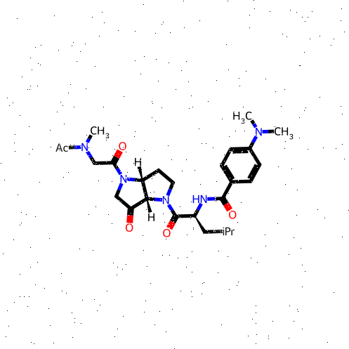 CC(=O)N(C)CC(=O)N1CC(=O)[C@@H]2[C@H]1CCN2C(=O)[C@H](CC(C)C)NC(=O)c1ccc(N(C)C)cc1